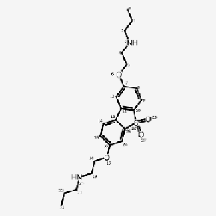 CCCNCCOc1ccc2c(c1)-c1ccc(OCCNCCC)cc1S2(=O)=O